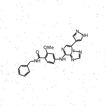 COc1cc(Nc2ncc(-c3cn[nH]c3)n3ncnc23)ccc1C(=O)NCc1ccccc1